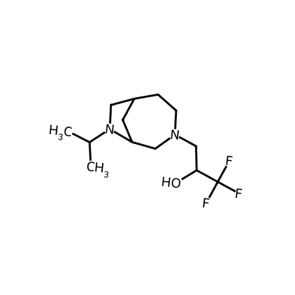 CC(C)N1CC2CCN(CC(O)C(F)(F)F)CC1C2